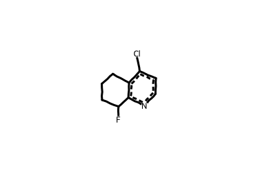 FC1CCCc2c(Cl)ccnc21